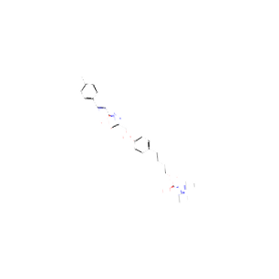 CCN(CC)C(=O)OCCCCc1ccc(OCc2coc(/C=C/c3ccc(C)cc3)n2)cc1